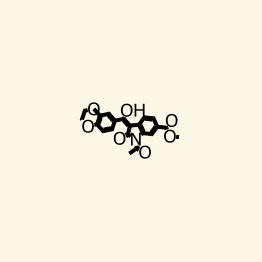 COC(=O)c1ccc2c(c1)N(C(C)=O)C(=O)C2=C(O)c1ccc2c(c1)OCCO2